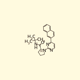 CC(C)(C)NC(=O)[C@@H]1CCCN1c1nccc(-c2ccc3ccccc3c2)n1